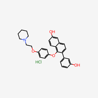 Cl.Oc1cccc(-c2ccc3cc(O)ccc3c2Oc2ccc(OCCN3CCCCC3)cc2)c1